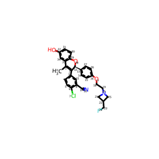 CC1=C(c2ccc(Cl)c(C#N)c2)[C@H](c2ccc(OCCN3CC(CF)C3)cc2)Oc2ccc(O)cc21